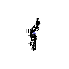 Cc1c(/C=C2\C(=O)NC3=CCC(S(=O)(=O)Cc4ccc(F)cc4)C=C32)[nH]c2c1C(=O)N(C[C@H](O)CN1CCOCC1)CCC2